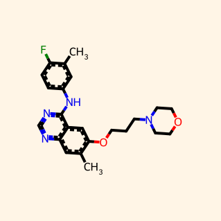 Cc1cc(Nc2ncnc3cc(C)c(OCCCN4CCOCC4)cc23)ccc1F